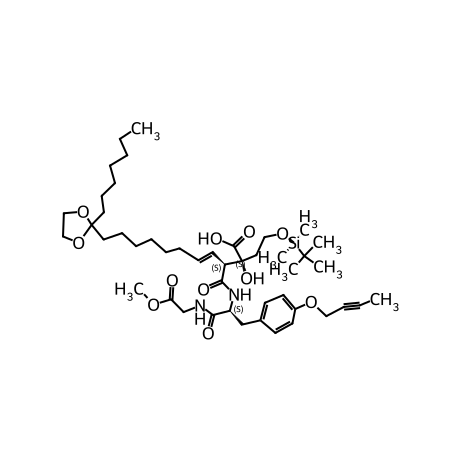 CC#CCOc1ccc(C[C@H](NC(=O)[C@@H](C=CCCCCCCC2(CCCCCCC)OCCO2)[C@@](O)(CCO[Si](C)(C)C(C)(C)C)C(=O)O)C(=O)NCC(=O)OC)cc1